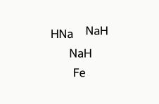 [Fe].[NaH].[NaH].[NaH]